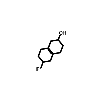 CC(C)C1CCC2=C(CCC(O)C2)C1